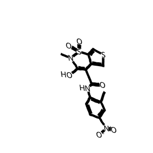 Cc1cc([N+](=O)[O-])ccc1NC(=O)C1=C(O)N(C)S(=O)(=O)c2cscc21